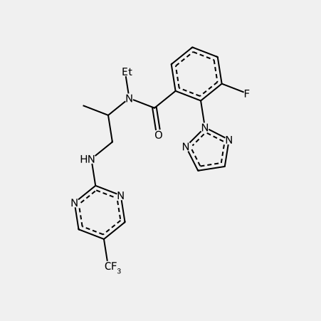 CCN(C(=O)c1cccc(F)c1-n1nccn1)C(C)CNc1ncc(C(F)(F)F)cn1